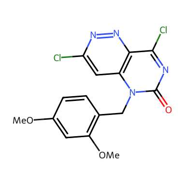 COc1ccc(Cn2c(=O)nc(Cl)c3nnc(Cl)cc32)c(OC)c1